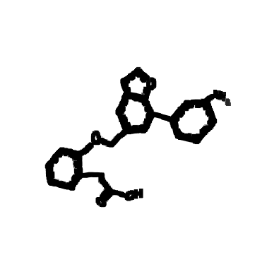 Nc1cccc(-c2cc(COc3ccccc3CC(=O)O)cc3ccoc23)c1